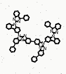 c1ccc(-c2ccc3nc4n(-c5ccc6c(c5)c5ccccc5n6-c5nc(-c6ccccc6)c6ccccc6n5)c5ccc(-c6ccc7c(c6)nc6n(-c8ccc9c(c8)c8ccccc8n9-c8nc(-c9ccccc9)c9ccccc9n8)c8ccc(-c9ccccc9)cc8n76)cc5n4c3c2)cc1